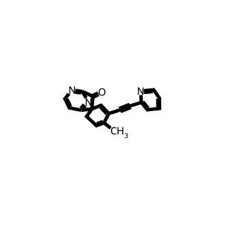 CC1=CCC2(C=C1C#Cc1ccccn1)C(=O)c1nccc2n1